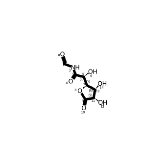 O=CNC(=O)[C@H](O)[C@H]1OC(=O)[C@@H](O)[C@H]1O